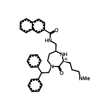 CNCCC[C@@H]1NC(CNC(=O)c2ccc3ccccc3c2)CCN(CC(c2ccccc2)c2ccccc2)C1=O